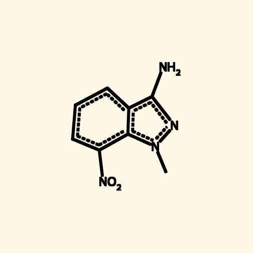 Cn1nc(N)c2cccc([N+](=O)[O-])c21